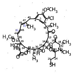 COc1cc2cc(c1Cl)N(C)C(=O)C[C@H](OC(=O)[C@H](C)N(C)C(=O)CCS)[C@@]1(C)O[C@H]1[C@H](C)[C@@H]1C[C@@](O)(NC(=O)O1)[C@H](OC)/C=C/C=C(\C)C2